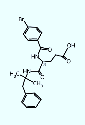 CC(C)(Cc1ccccc1)NC(=O)[C@H](CCC(=O)O)NC(=O)c1ccc(Br)cc1